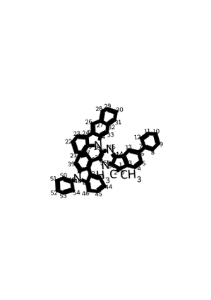 CC1(C)c2ccc(-c3ccccc3)cc2-c2nc(-n3c4ccccc4c4cc5ccccc5cc43)c(-c3cccc4c3c3ccccc3n4-c3ccccc3)nc21